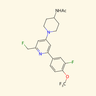 CC(=O)NC1CCN(c2cc(CF)nc(-c3ccc(OC(F)(F)F)c(F)c3)c2)CC1